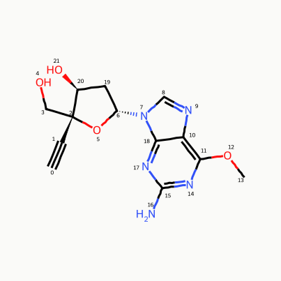 C#C[C@]1(CO)O[C@@H](n2cnc3c(OC)nc(N)nc32)C[C@@H]1O